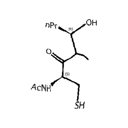 CCC[C@@H](O)C(C)C(=O)[C@@H](CS)NC(C)=O